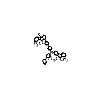 CC1(C)c2ccccc2-c2ccc(N(c3ccc(-c4ccccc4)cc3)c3ccc(-c4ccc(-c5cccc6c5C(C)(C)c5c-6sc6ccccc56)cc4)cc3)cc21